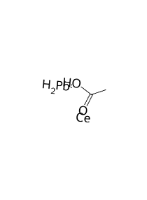 CC(=O)O.[Ce].[PbH2]